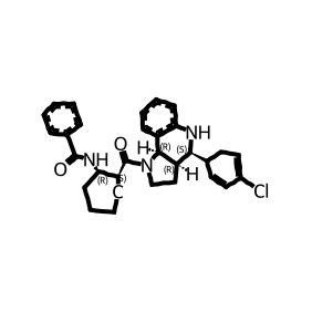 O=C(N[C@@H]1CCCC[C@@H]1C(=O)N1CC[C@@H]2[C@H](C3C=CC(Cl)=CC3)Nc3ccccc3[C@@H]21)c1ccccc1